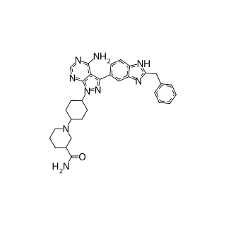 NC(=O)C1CCCN(C2CCC(n3nc(-c4ccc5[nH]c(Cc6ccccc6)nc5c4)c4c(N)ncnc43)CC2)C1